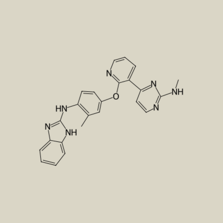 CNc1nccc(-c2cccnc2Oc2ccc(Nc3nc4ccccc4[nH]3)c(C)c2)n1